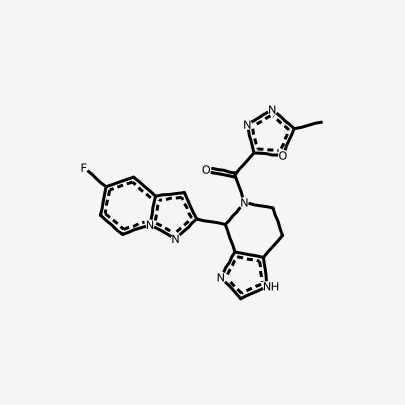 Cc1nnc(C(=O)N2CCc3[nH]cnc3C2c2cc3cc(F)ccn3n2)o1